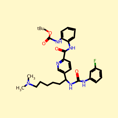 CN(C)CCCCCC(NC(=O)Nc1cccc(F)c1)c1ccc(C(=O)Nc2ccccc2NC(=O)OC(C)(C)C)nc1